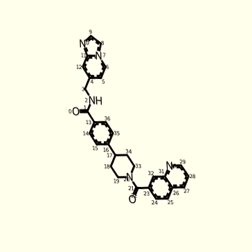 O=C(NCc1ccn2ccnc2c1)c1ccc(C2CCN(C(=O)c3ccc4cccnc4c3)CC2)cc1